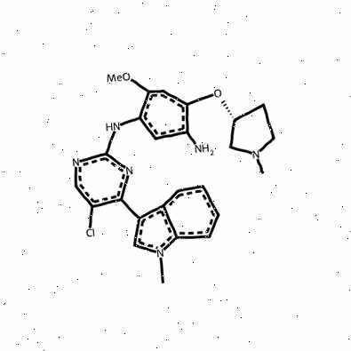 COc1cc(O[C@@H]2CCN(C)C2)c(N)cc1Nc1ncc(Cl)c(-c2cn(C)c3ccccc23)n1